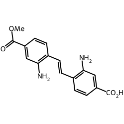 COC(=O)c1ccc(C=Cc2ccc(C(=O)O)cc2N)c(N)c1